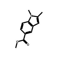 COC(=O)c1ccc2c(c1)cc(C)n2C